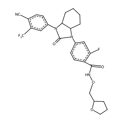 N#Cc1ccc(N2C(=O)N(c3ccc(C(=O)NOCC4CCCO4)c(F)c3)C3CCCCC32)cc1C(F)(F)F